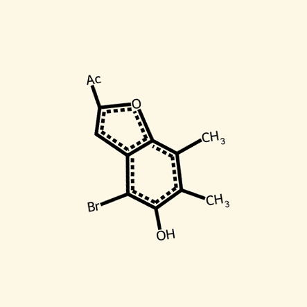 CC(=O)c1cc2c(Br)c(O)c(C)c(C)c2o1